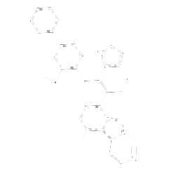 CN/C=C\c1c(C)oc2c(C3=C(Cc4ccc(-c5ccccc5)cc4C(C)(C)C)c4[nH]ccc4CC3)c(C)cc(C)c12